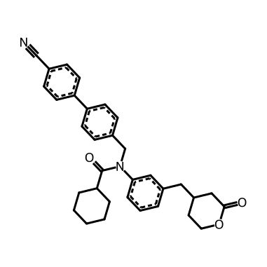 N#Cc1ccc(-c2ccc(CN(C(=O)C3CCCCC3)c3cccc(CC4CCOC(=O)C4)c3)cc2)cc1